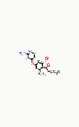 Cc1cc(Oc2ccnc(N)c2)cc2c1C(CC(=O)O)OB2O